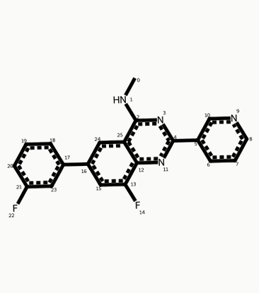 CNc1nc(-c2cccnc2)nc2c(F)cc(-c3cccc(F)c3)cc12